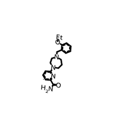 CCOc1ccccc1CN1CCCN(c2cc[c]c(C(N)=O)n2)CC1